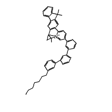 CCCCCCCc1cccc(-c2cccc(-c3cccc(-c4ccc5[n+](c4)C4(C)CC4(C)c4cc6c(cc4-5)C(C)(C)c4ccccc4-6)c3)c2)c1